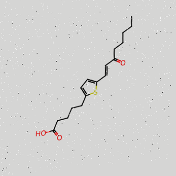 CCCCCC(=O)/C=C/c1ccc(CCCCC(=O)O)s1